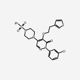 CC(C)S(=O)(=O)N1CCN(c2cnn(-c3cccc(Cl)c3)c(=O)c2OCCc2ccsc2)CC1